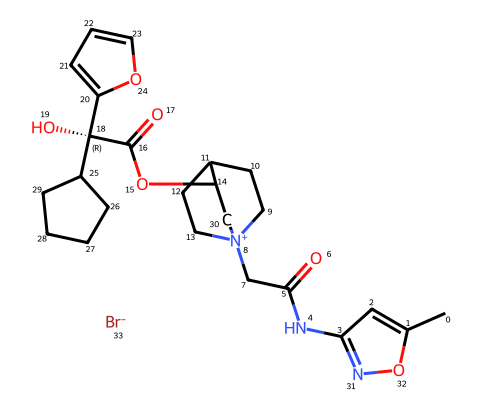 Cc1cc(NC(=O)C[N+]23CCC(CC2)C(OC(=O)[C@](O)(c2ccco2)C2CCCC2)C3)no1.[Br-]